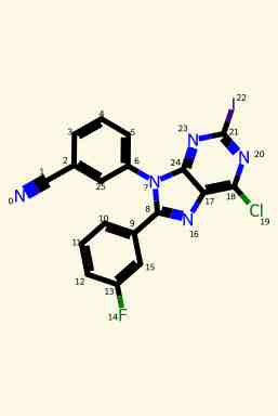 N#Cc1cccc(-n2c(-c3cccc(F)c3)nc3c(Cl)nc(I)nc32)c1